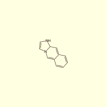 C1=CN2C=c3ccccc3=CC2N1